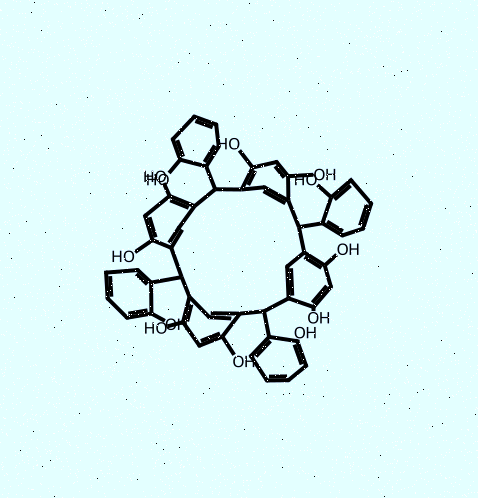 Oc1ccccc1C1c2cc(c(O)cc2O)C(c2ccccc2O)c2cc(c(O)cc2O)C(c2ccccc2O)c2cc(c(O)cc2O)C(c2ccccc2O)c2cc1c(O)cc2O